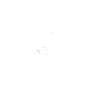 Fc1cn2nc(-c3ccccc3)nc2cc1I